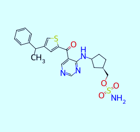 CC(c1ccccc1)c1csc(C(=O)c2cncnc2NC2CC[C@@H](COS(N)(=O)=O)C2)c1